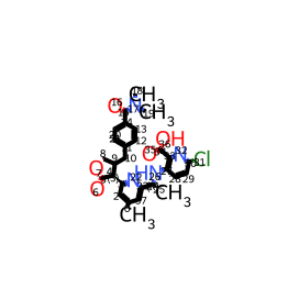 Cc1cc([C@H]2C(=O)OCC2Cc2ccc(C(=O)N(C)C)cc2)nc([C@@H](C)Nc2ccc(Cl)nc2C(=O)O)c1